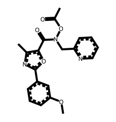 COc1cccc(-c2nc(C)c(C(=O)N(Cc3ccccn3)OC(C)=O)o2)c1